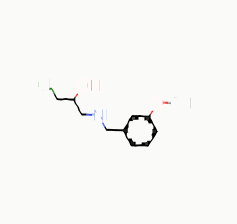 COc1cccc(CNCC(O)CCl)c1